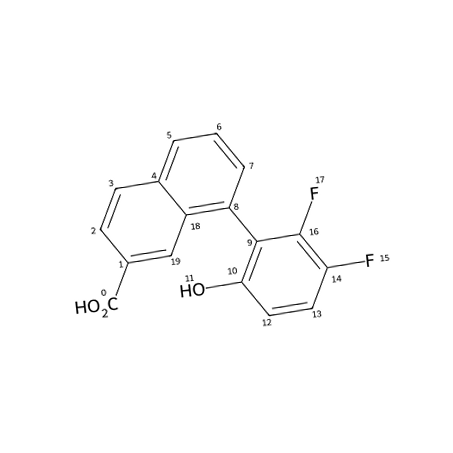 O=C(O)c1ccc2cccc(-c3c(O)ccc(F)c3F)c2c1